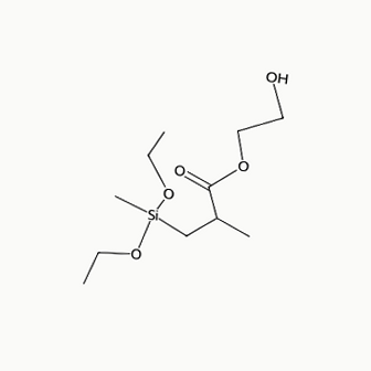 CCO[Si](C)(CC(C)C(=O)OCCO)OCC